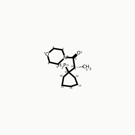 C[C@@H](C(=O)N1CCOCC1)C1(P)CCCCC1